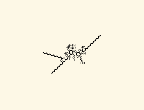 CCCCCCCCCCCC(=O)O[C@H](CCCCCCCCCCC)CC(=O)N[C@H]1[C@@H](O)[C@H](OP(=O)(O)O)[C@@H](CO)O[C@H]1C(O)[C@H]1O[C@H](OCCO)[C@@H](NC(=O)C[C@H](O)CCCCCCCCCCC)[C@@H](O)[C@@H]1O